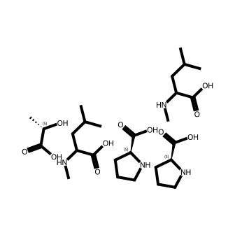 CNC(CC(C)C)C(=O)O.CNC(CC(C)C)C(=O)O.C[C@H](O)C(=O)O.O=C(O)[C@@H]1CCCN1.O=C(O)[C@@H]1CCCN1